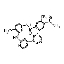 Cc1ccc(NC(=O)c2ccc(C(C)Br)c(C(F)(F)F)c2)cc1Nc1nccc(-c2cncnc2)n1